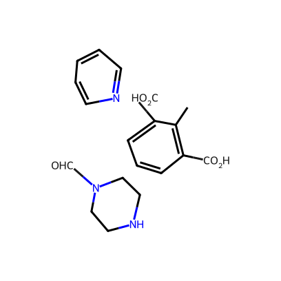 Cc1c(C(=O)O)cccc1C(=O)O.O=CN1CCNCC1.c1ccncc1